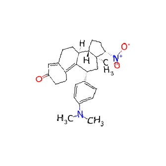 CN(C)c1ccc([C@H]2C[C@]3(C)[C@@H]([N+](=O)[O-])CC[C@H]3[C@@H]3CCC4=CC(=O)CCC4=C32)cc1